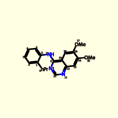 CCCc1ccccc1Nc1ncnc2cc(OC)c(OC)cc12